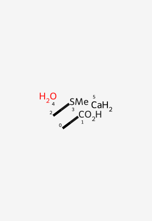 CC(=O)O.CSC.O.[CaH2]